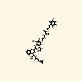 CC1=C(C)C(=O)C(CCCOC(=O)NCCCC[C@H](CC(=O)[C@@H]2CCCN2C(=O)[C@H](/C=C/[C@H](CC(C)C)NC(=O)OCC2CC2)Cc2ccccc2)C(=O)NC(C)C)=C(C)C1=O